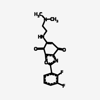 CN(C)CCNC1=CC(=O)c2nc(-c3cccc(F)c3F)oc2C1=O